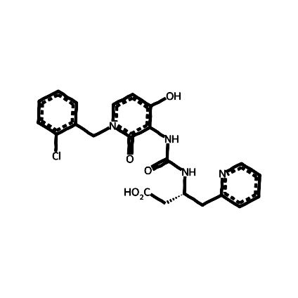 O=C(O)C[C@@H](Cc1ccccn1)NC(=O)Nc1c(O)ccn(Cc2ccccc2Cl)c1=O